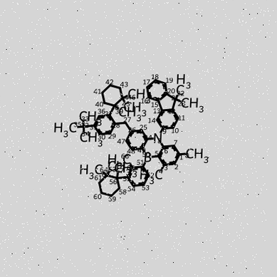 Cc1cc(C)c2c(c1)N(c1ccc3c(c1)-c1ccccc1C3(C)C)c1cc(Cc3ccc(C(C)(C)C)cc3C3(C)CCCCC3(C)C)ccc1B2c1cccc(C2(C)CCCCC2(C)C)c1C